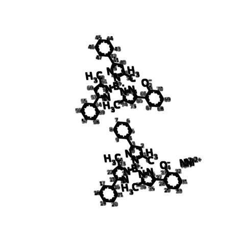 Cc1cc(-c2ccccc2)nn1[B-](n1nc(-c2ccccc2)cc1C)n1nc(-c2ccccc2[O-])cc1C.Cc1cc(-c2ccccc2)nn1[B-](n1nc(-c2ccccc2)cc1C)n1nc(-c2ccccc2[O-])cc1C.[Ni+2].[Ni+2]